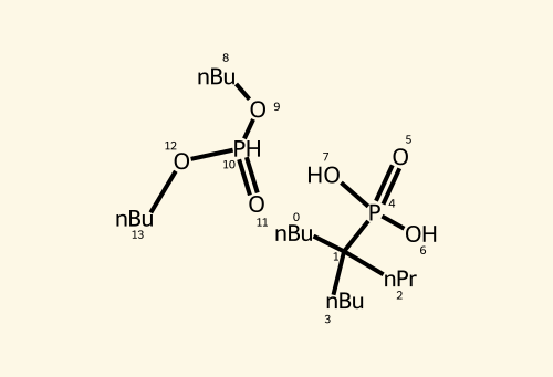 CCCCC(CCC)(CCCC)P(=O)(O)O.CCCCO[PH](=O)OCCCC